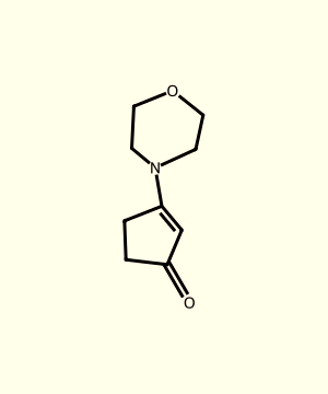 O=C1C=C(N2CCOCC2)CC1